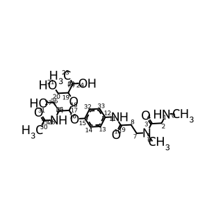 CNCC(=O)N(C)CCC(=O)Nc1ccc(OC(OC(CO)[C@@H](C)O)[C@H](CO)NC(C)=O)cc1